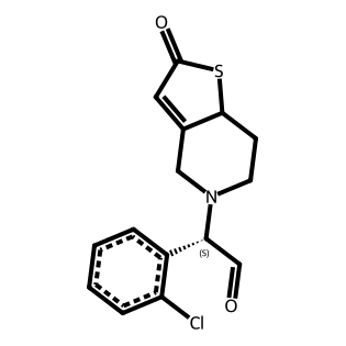 O=C[C@H](c1ccccc1Cl)N1CCC2SC(=O)C=C2C1